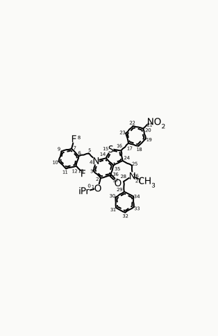 CC(C)Oc1cn(Cc2c(F)cccc2F)c2sc(-c3ccc([N+](=O)[O-])cc3)c(CN(C)Cc3ccccc3)c2c1=O